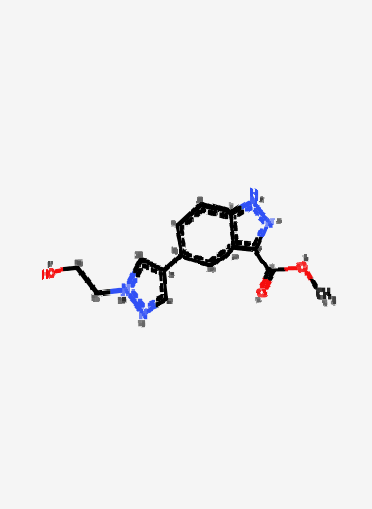 COC(=O)c1n[nH]c2ccc(-c3cnn(CCO)c3)cc12